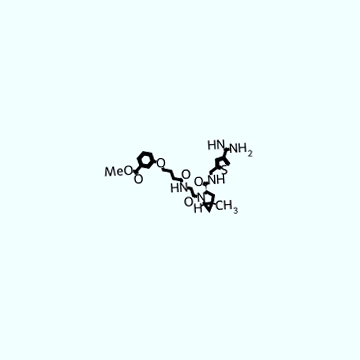 COC(=O)c1cccc(OCCCC(=O)NCC(=O)N2[C@H]3C[C@@]3(C)C[C@H]2C(=O)NCc2cc(C(=N)N)cs2)c1